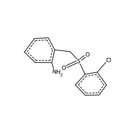 Nc1ccccc1CS(=O)(=O)c1ccccc1Cl